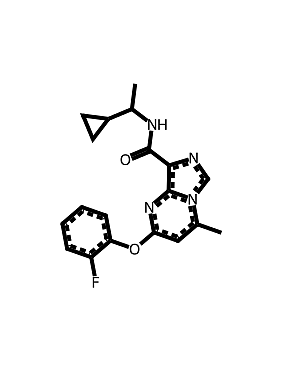 Cc1cc(Oc2ccccc2F)nc2c(C(=O)NC(C)C3CC3)ncn12